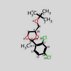 CC(C)(C)OC[C@@H]1CO[C@](C)(c2ccc(Cl)cc2Cl)O1